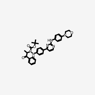 CC(C(=O)c1ccccc1)N(Nc1ccc(-c2ccnc(Nc3ccc(N4CCOCC4)cc3)n2)cc1)C(=O)OC(C)(C)C